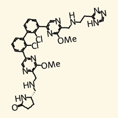 COc1nc(-c2cccc(-c3cccc(-c4cnc(CNC[C@@H]5CCC(=O)N5)c(OC)n4)c3Cl)c2Cl)cnc1CNCCc1nnc[nH]1